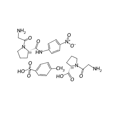 Cc1ccc(S(=O)(=O)O)cc1.NCC(=O)N1CCC[C@H]1C(=O)Nc1ccc([N+](=O)[O-])cc1.NCC(=O)N1CCC[C@H]1C(=O)O